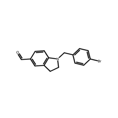 O=Cc1ccc2c(c1)CCN2Cc1ccc(Br)cc1